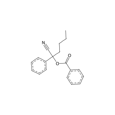 CCCCC(C#N)(OC(=O)c1ccccc1)c1ccccc1